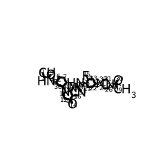 C=CC(=O)Nc1cccc(-n2ccc(=O)c3cnc(Nc4ccc(N5CCN(C(C)=O)CC5)cc4F)nc32)c1